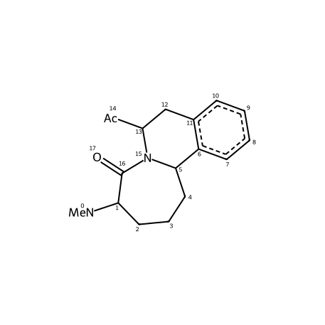 CNC1CCCC2c3ccccc3CC(C(C)=O)N2C1=O